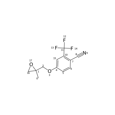 CC1(COc2ccc(C#N)c(C(F)(F)F)c2)CO1